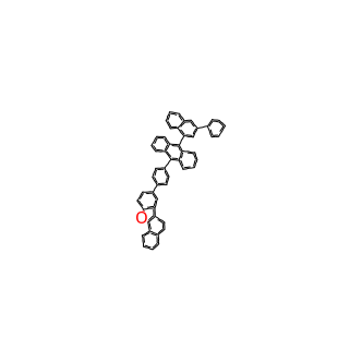 c1ccc(-c2cc(-c3c4ccccc4c(-c4ccc(-c5ccc6oc7c8ccccc8ccc7c6c5)cc4)c4ccccc34)c3ccccc3c2)cc1